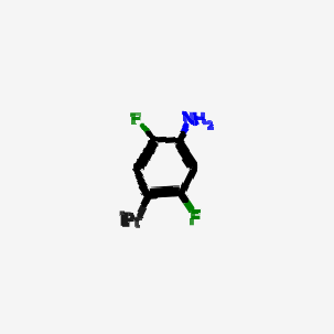 CC(C)c1cc(F)c(N)cc1F